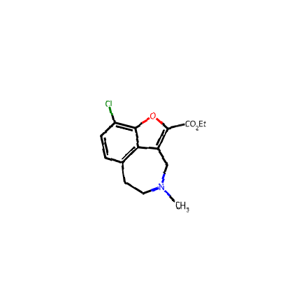 CCOC(=O)c1oc2c(Cl)ccc3c2c1CN(C)CC3